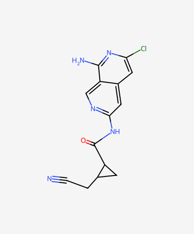 N#CCC1CC1C(=O)Nc1cc2cc(Cl)nc(N)c2cn1